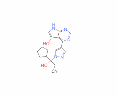 N#CCC(O)(C1CCCC1)n1cc(-c2ncnc3[nH]cc(O)c23)cn1